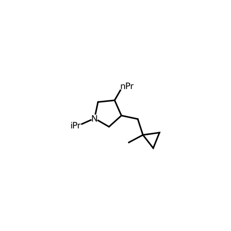 CCCC1CN(C(C)C)CC1CC1(C)CC1